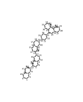 c1ccc2cc(-c3ccc4ccc(-c5ccc6ccc(-c7ccc(-c8cc9cccnc9c9ncccc89)cc7)cc6n5)cc4n3)ncc2c1